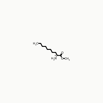 CCCCCCCC[C@@H](N)C(=O)OC